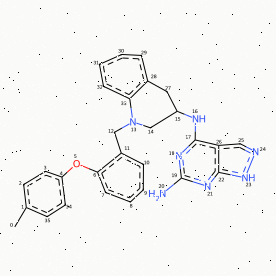 Cc1ccc(Oc2ccccc2CN2CC(Nc3nc(N)nc4[nH]ncc34)Cc3ccccc32)cc1